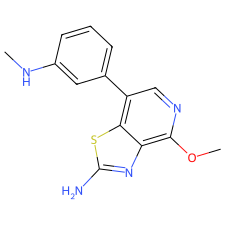 CNc1cccc(-c2cnc(OC)c3nc(N)sc23)c1